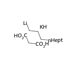 O=C(O)CC(=O)O.[KH].[Li][CH2]CCCCCCCCC